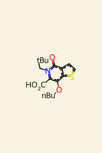 CCCCOc1c(C(=O)O)n(CC(C)(C)C)c(=O)c2ccsc12